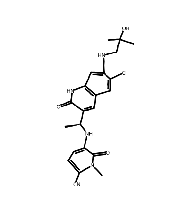 C[C@H](Nc1ccc(C#N)n(C)c1=O)c1cc2cc(Cl)c(NCC(C)(C)O)cc2[nH]c1=O